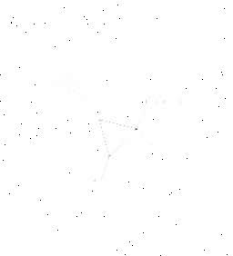 C#CC1C(C)C1(C)C(=O)O